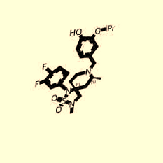 CC(C)Oc1cc(CN2CC[C@@]3(C[C@@H]2C)CN(C)S(=O)(=O)N3c2ccc(F)c(F)c2)ccc1O